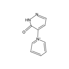 O=c1[nH]nccc1-[n+]1ccccc1